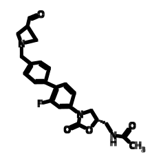 CC(=O)NC[C@H]1CN(c2ccc(-c3ccc(CN4CC(C=O)C4)cc3)c(F)c2)C(=O)O1